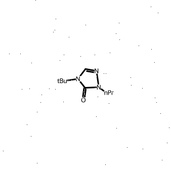 CCCn1ncn(C(C)(C)C)c1=O